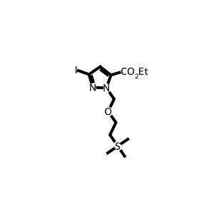 CCOC(=O)c1cc(I)nn1COCCS(C)(C)C